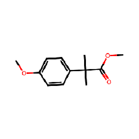 COC(=O)C(C)(C)c1ccc(OC)cc1